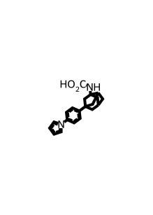 O=C(O)NC12CC3CC1CC(c1ccc(-n4cccc4)cc1)(C3)C2